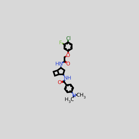 CN(C)c1ccc(C(=O)NC2C[C@H](NC(=O)COc3ccc(Cl)c(F)c3)C3CCC23)cc1